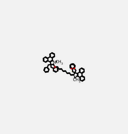 CN1/C(=C/C=C/C=C/C=C/C=C/C2=[N+](C)c3c(c4ccccc4c4ccccc34)C2(Cc2ccccc2)Cc2ccccc2)C(Cc2ccccc2)(Cc2ccccc2)c2c1c1ccccc1c1ccccc21